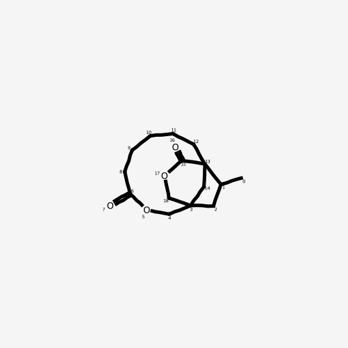 CC1CC23COC(=O)CCCCCC1(C2)C(=O)OC3